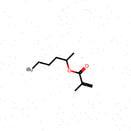 C=C(C)C(=O)OC(C)CCCC(C)CC